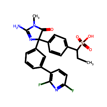 CCC(c1ccc(C2(c3cccc(-c4ccc(F)nc4F)c3)N=C(N)N(C)C2=O)cc1)S(=O)(=O)O